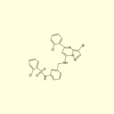 O=S(=O)(Nc1cccc(CNc2cc(-c3ccccc3Cl)nc3c(Br)cnn23)c1)c1ccccc1Cl